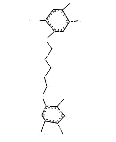 COc1cc(C)c([N+](=O)[O-])cc1OCCCCCOc1cc(N)c(C)cc1C